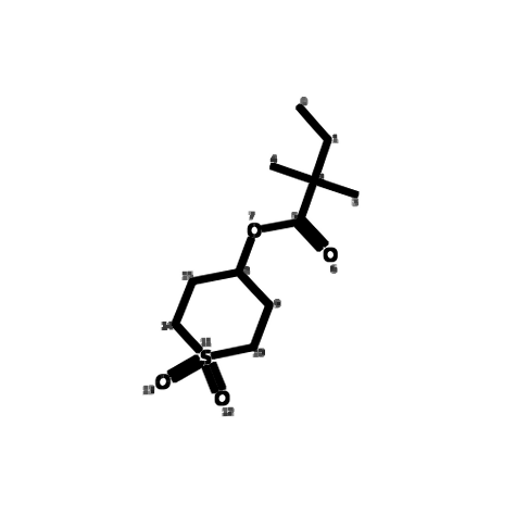 CCC(C)(C)C(=O)OC1CCS(=O)(=O)CC1